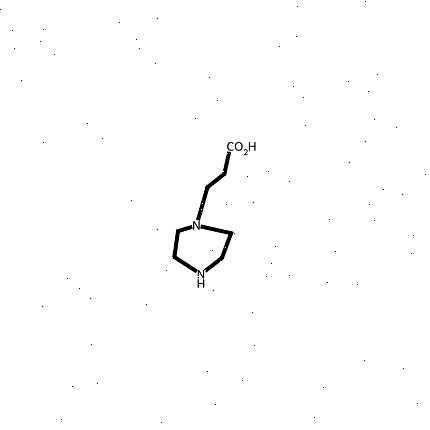 O=C(O)CCN1[CH]CNCC1